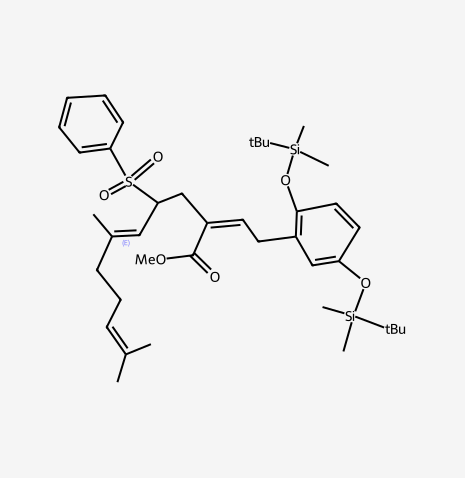 COC(=O)C(=CCc1cc(O[Si](C)(C)C(C)(C)C)ccc1O[Si](C)(C)C(C)(C)C)CC(/C=C(\C)CCC=C(C)C)S(=O)(=O)c1ccccc1